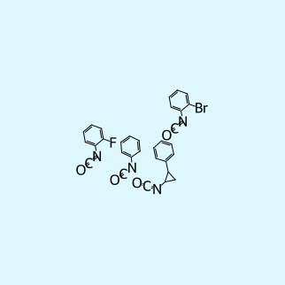 O=C=NC1CC1c1ccccc1.O=C=Nc1ccccc1.O=C=Nc1ccccc1Br.O=C=Nc1ccccc1F